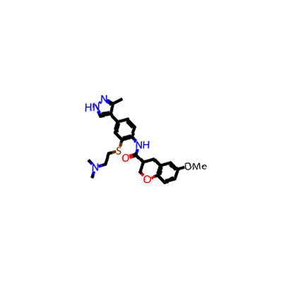 COc1ccc2c(c1)CC(C(=O)Nc1ccc(-c3c[nH]nc3C)cc1SCCN(C)C)CO2